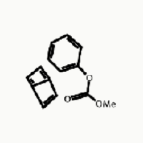 COC(=O)Oc1ccccc1.c1cc2ccc1-2